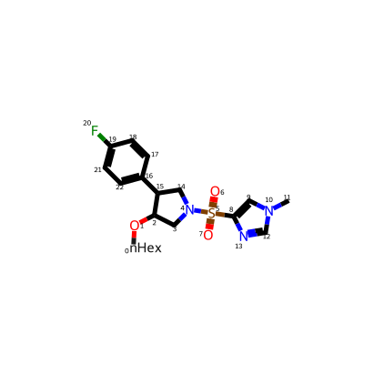 CCCCCCOC1CN(S(=O)(=O)c2cn(C)cn2)CC1c1ccc(F)cc1